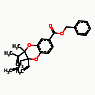 C=CCC1(C=C)Oc2ccc(C(=O)OCc3ccccc3)cc2OC1(C)C(=C)C